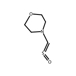 O=S=CN1CCOCC1